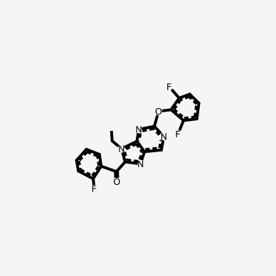 CCn1c(C(=O)c2ccccc2F)nc2cnc(Oc3c(F)cccc3F)nc21